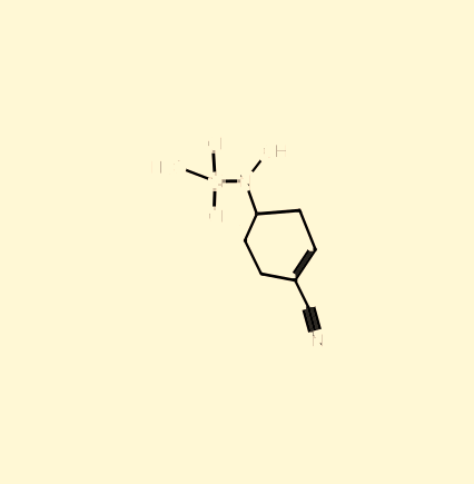 CN(C1CC=C(C#N)CC1)[Si](C)(C)C